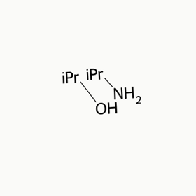 CC(C)N.CC(C)O